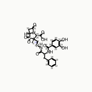 C[C@]1(/C=N/NC(=O)C(Cc2ccccc2)NC(=O)c2ccc(O)c(O)c2)[C@H](C(=O)O)N2C(=O)C[C@H]2S1(=O)=O